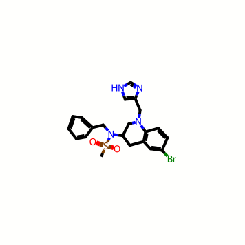 CS(=O)(=O)N(Cc1ccccc1)C1Cc2cc(Br)ccc2N(Cc2c[nH]cn2)C1